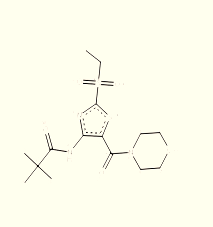 CCS(=O)(=O)c1nc(NC(=O)C(C)(C)C)c(C(=O)N2CCOCC2)s1